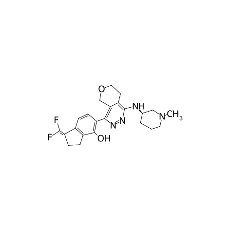 CN1CCC[C@@H](Nc2nnc(-c3ccc4c(c3O)CCC4=C(F)F)c3c2CCOC3)C1